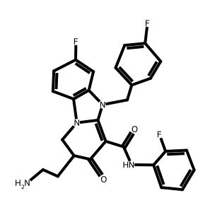 NCCC1CN2C(=C(C(=O)Nc3ccccc3F)C1=O)N(Cc1ccc(F)cc1)c1cc(F)ccc12